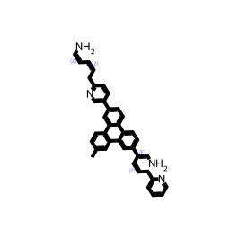 Cc1ccc2c(c1)c1cc(C(/C=C\Cc3ccccn3)=C/N)ccc1c1ccc(-c3ccc(C/C=C\C=C/N)nc3)cc12